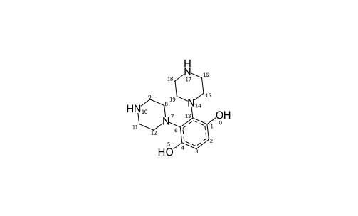 Oc1ccc(O)c(N2CCNCC2)c1N1CCNCC1